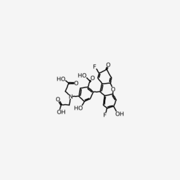 O=C(O)CN(CC(=O)O)c1cc(C(=O)O)c(-c2c3cc(F)c(=O)cc-3oc3cc(O)c(F)cc23)cc1O